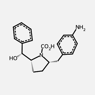 Nc1ccc(C[C@@H]2CC[C@H]([C@H](O)c3ccccc3)N2C(=O)O)cc1